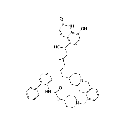 O=C(Nc1ccccc1-c1ccccc1)OC1CCN(Cc2cccc(CN3CCC(CCCNC[C@@H](O)c4ccc(O)c5[nH]c(=O)ccc45)CC3)c2F)CC1